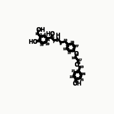 OCc1cc(C(O)CNCCc2ccc(OCCOCc3ccc(O)cc3)cc2)ccc1O